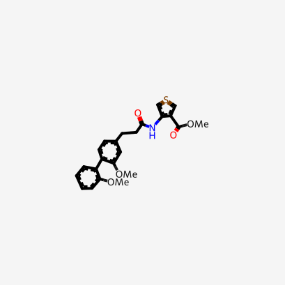 COC(=O)c1cscc1NC(=O)CCc1ccc(-c2ccccc2OC)c(OC)c1